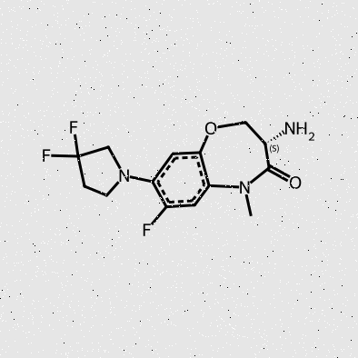 CN1C(=O)[C@@H](N)COc2cc(N3CCC(F)(F)C3)c(F)cc21